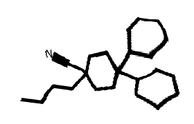 CCCCC1(C#N)CCC(C2CCCCC2)(C2CCCCC2)CC1